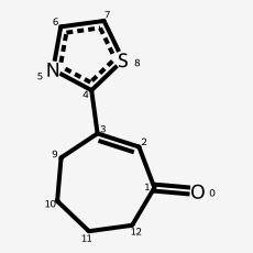 O=C1C=C(c2nccs2)CCCC1